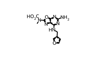 CN(C(=O)O)c1nc2c(NCc3ccoc3)nc(N)nc2o1